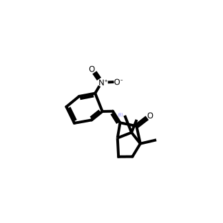 CC12CCC(/C(=C\c3ccccc3[N+](=O)[O-])C1=O)C2(C)C